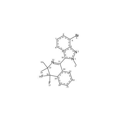 Cn1nc2c(Br)cccc2c1C1=NC(C)(C)C(F)(F)c2ccccc21